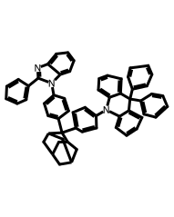 c1ccc(-c2nc3ccccc3n2-c2ccc(C3(c4ccc(N5c6ccccc6C(c6ccccc6)(c6ccccc6)c6ccccc65)cc4)C4CC5CC(C4)CC3C5)cc2)cc1